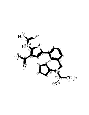 CC(C)[C@@H](C(=O)O)N(Cc1cccc(-c2cc(C(N)=O)c(NC(N)=O)s2)c1)C1CCCC1